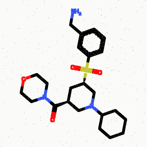 NCc1cccc(S(=O)(=O)[C@H]2C[C@H](C(=O)N3CCOCC3)CN(C3CCCCC3)C2)c1